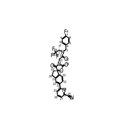 C[C@H](N(Cc1ccc(F)cc1)C(=O)CN1C(=O)O[C@@]2(CCc3cc(-c4cccc(C#N)n4)ccc32)C1=O)C(F)(F)F